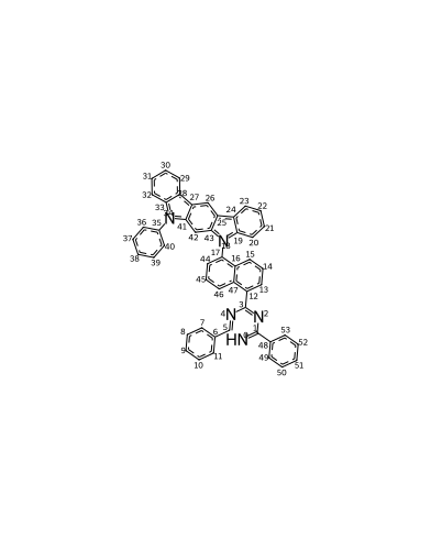 N=C(/N=C(\N=C\c1ccccc1)c1cccc2c(-n3c4ccccc4c4cc5c6ccccc6n(-c6ccccc6)c5cc43)cccc12)c1ccccc1